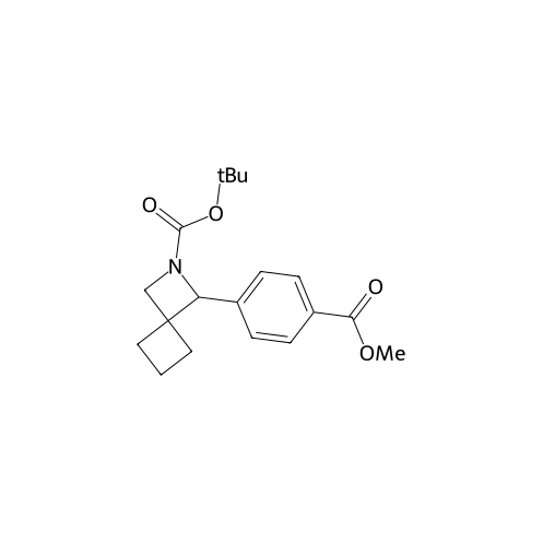 COC(=O)c1ccc(C2N(C(=O)OC(C)(C)C)CC23CCC3)cc1